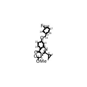 COC(=O)Cn1c(C2CC2)nc2cc(OCc3cccc(F)c3)ccc2c1=O